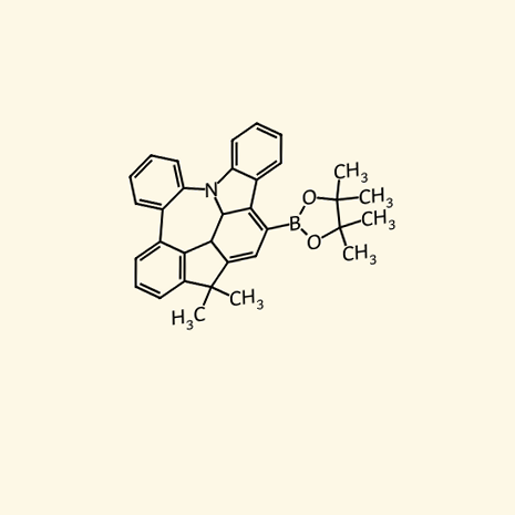 CC1(C)C2=CC(B3OC(C)(C)C(C)(C)O3)=C3c4ccccc4N4c5ccccc5-c5cccc1c5C2C34